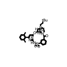 Cc1cccc(C)c1-c1cc2nc(n1)NS(=O)(=O)c1cccc(c1)C(=O)N1CCN(CCC(C)(C)C)C[C@H](O2)[C@H]1CC(C)C